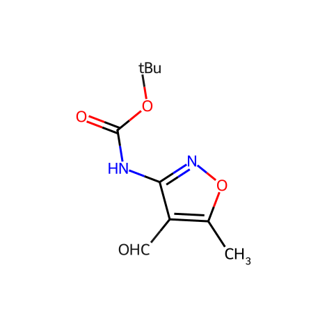 Cc1onc(NC(=O)OC(C)(C)C)c1C=O